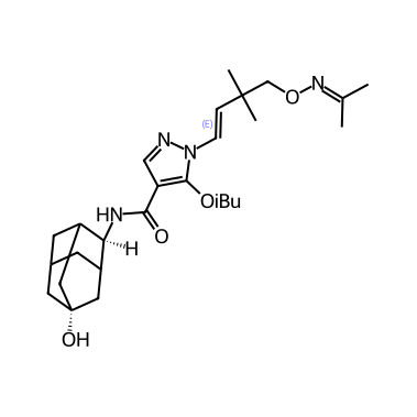 CC(C)=NOCC(C)(C)/C=C/n1ncc(C(=O)N[C@H]2C3CC4CC2C[C@](O)(C4)C3)c1OCC(C)C